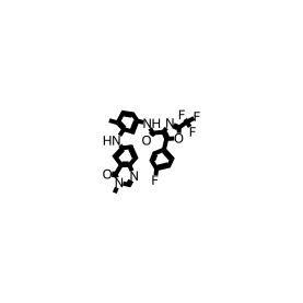 Cc1ccc(NC(=O)c2nc(C(F)(F)F)oc2-c2ccc(F)cc2)cc1Nc1ccc2ncn(C)c(=O)c2c1